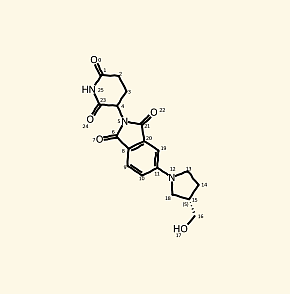 O=C1CCC(N2C(=O)c3ccc(N4CC[C@H](CO)C4)cc3C2=O)C(=O)N1